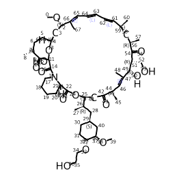 CO[C@H]1C[C@@H]2CC[C@@H](C)C(=O)C(O)(O2)C(=O)N2CCCC[C@H]2C(=O)O[C@H]([C@H](C)C[C@@H]2CC[C@@H](OCCO)[C@H](OC)C2)CC(=O)[C@H](C)/C=C(\C)[C@@H](O)[C@@H](CO)C(=O)[C@H](C)C[C@H](C)/C=C/C=C/C=C/1C